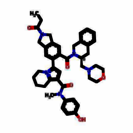 CCC(=O)N1Cc2cc(C(=O)N3Cc4ccccc4C[C@H]3CN3CCOCC3)c(-c3cc(C(=O)N(C)c4ccc(O)cc4)c4n3CCCC4)cc2C1